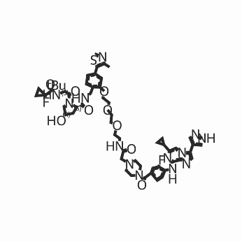 Cc1ncsc1-c1ccc(CNC(=O)[C@@H]2C[C@@H](O)CN2C(=O)[C@@H](NC(=O)C2(F)CC2)C(C)(C)C)c(OCCOCCOCCNC(=O)CN2CCN(C(=O)c3ccc(Nc4nc(C5CC5)cn5c(-c6cn[nH]c6)cnc45)c(F)c3)CC2)c1